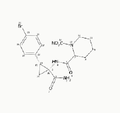 NC(=O)[C@@]1(NC(=O)C2CCCCN2C(=O)O)C[C@@H]1c1ccc(Br)cc1